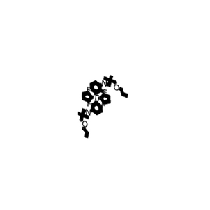 C=CCOCC1(C)CN(c2ccc(F)[c]([Ti]([c]3c(F)ccc(N4CC(C)(COCC=C)C4)c3F)([CH]3C=CC=C3)[CH]3C=CC=C3)c2F)C1